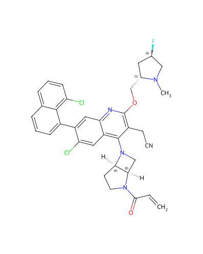 C=CC(=O)N1CC[C@@H]2[C@H]1CN2c1c(CC#N)c(OC[C@@H]2C[C@@H](F)CN2C)nc2cc(-c3cccc4cccc(Cl)c34)c(Cl)cc12